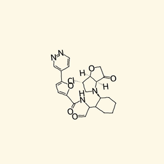 O=CC(NC(=O)c1ccc(-c2ccnnc2)o1)C1CCCC[C@@H]1N1C[C@H](Cl)[C@H]2OCC(=O)[C@H]21